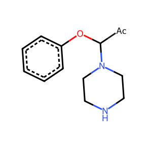 CC(=O)C(Oc1ccccc1)N1CCNCC1